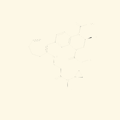 COC(=O)N1c2ccc(C3=C(NNCC(=O)N(C)C4CC4)CCCC=C3)cc2N(C(=O)OC(C)C)C[C@@H]1C